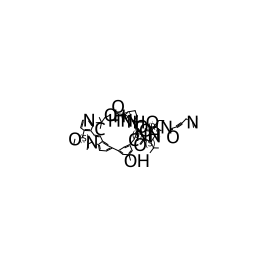 CCn1c(-c2cnccc2[C@H](C)OC)c2c3cc(ccc31)-c1cc(O)cc(c1)C[C@H](NC(=O)[C@H](C(C)C)N(C)C(=O)[C@@]1(O)CCN(C(=O)C#CCN(C)C)C1)C(=O)N1CCC[C@H](N1)C(=O)OCC(C)(C)C2